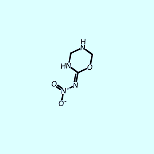 O=[N+]([O-])N=C1NCNCO1